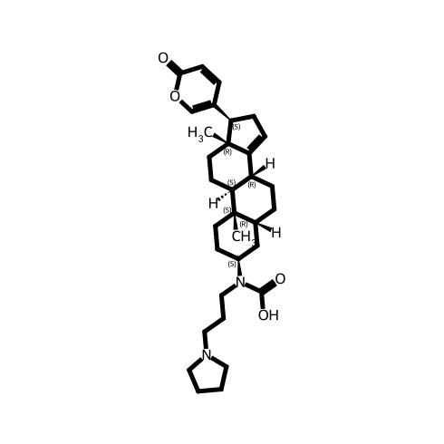 C[C@]12CC[C@H](N(CCCN3CCCC3)C(=O)O)C[C@H]1CC[C@H]1C3=CC[C@H](c4ccc(=O)oc4)[C@@]3(C)CC[C@@H]12